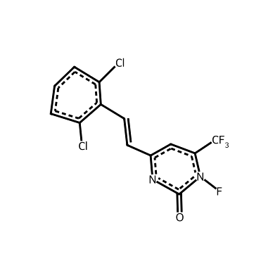 O=c1nc(C=Cc2c(Cl)cccc2Cl)cc(C(F)(F)F)n1F